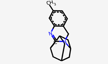 Cc1ccc2c(c1)N=C1C3CC4CC(C3)CC(C4)N1C2